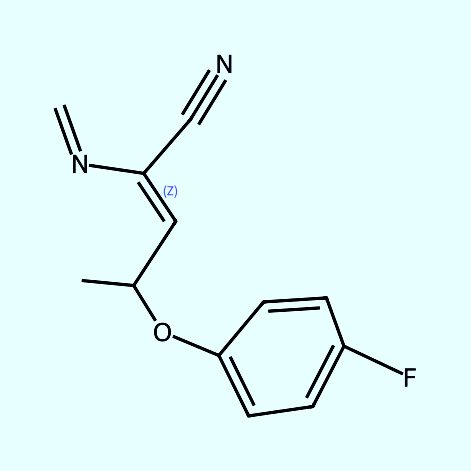 C=N/C(C#N)=C\C(C)Oc1ccc(F)cc1